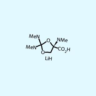 CNC1(NC)OC[C@@](NC)(C(=O)O)O1.[LiH]